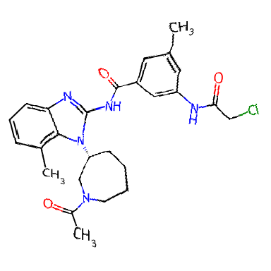 CC(=O)N1CCCC[C@@H](n2c(NC(=O)c3cc(C)cc(NC(=O)CCl)c3)nc3cccc(C)c32)C1